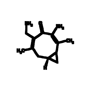 C/C1=C(\CN)C(=O)/C(N)=C(/C)C2C[C@@H]2C1